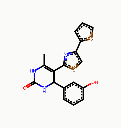 CC1=C(c2nc(-c3cccs3)cs2)C(c2cccc(O)c2)NC(=O)N1